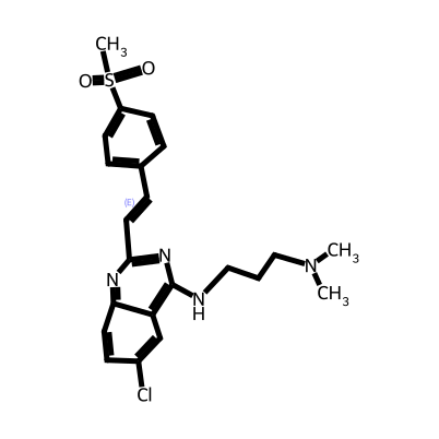 CN(C)CCCNc1nc(/C=C/c2ccc(S(C)(=O)=O)cc2)nc2ccc(Cl)cc12